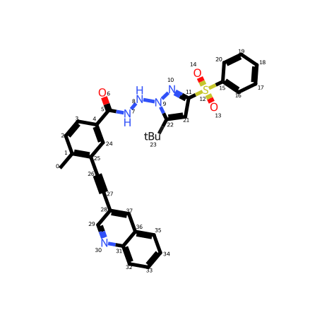 Cc1ccc(C(=O)NNn2nc(S(=O)(=O)c3ccccc3)cc2C(C)(C)C)cc1C#Cc1cnc2ccccc2c1